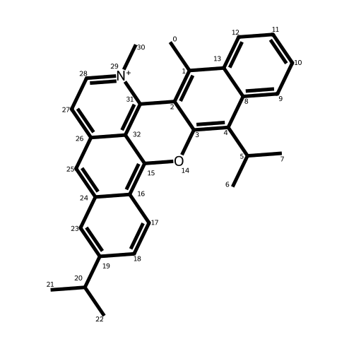 Cc1c2c(c(C(C)C)c3ccccc13)Oc1c3ccc(C(C)C)cc3cc3cc[n+](C)c-2c13